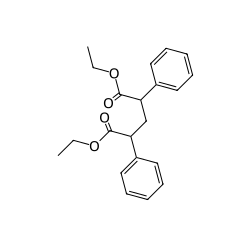 CCOC(=O)C(CC(C(=O)OCC)c1ccccc1)c1ccccc1